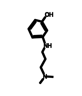 CN(C)CCCNc1cccc(O)c1